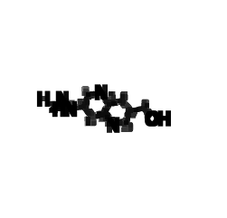 NNc1cnc2cc(CO)cnc2c1